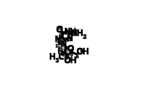 C[C@@]1(F)[C@H](O)C(CO)O[C@H]1n1cnc2c(=O)[nH]c(N)nc21